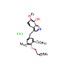 CCOc1ccc2c(Cc3cc(OC)c(OCCOC)c(OC)c3)cncc2c1O.Cl